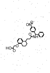 O=C(O)COc1cccc2c1CCCC2CCC(=O)NC(c1ccccc1)c1ccc([N+](=O)[O-])cc1